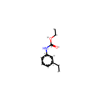 [CH2]Cc1cccc(NC(=O)OCC)c1